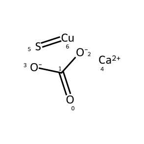 O=C([O-])[O-].[Ca+2].[S]=[Cu]